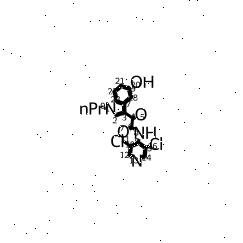 CCCn1cc(C(=O)C(=O)Nc2c(Cl)cncc2Cl)c2cc(O)ccc21